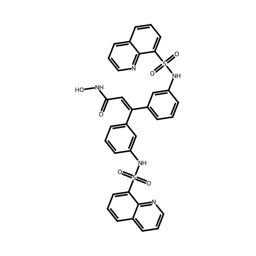 O=C(C=C(c1cccc(NS(=O)(=O)c2cccc3cccnc23)c1)c1cccc(NS(=O)(=O)c2cccc3cccnc23)c1)NO